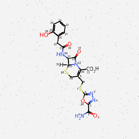 NC(=O)c1nnc(SCC2=C(C(=O)O)N3C(=O)C(NC(=O)Cc4ccccc4O)[C@H]3SC2)o1